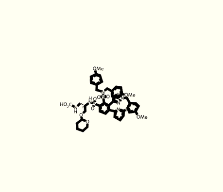 COc1ccc(CN(Cc2ccc(OC)cc2)S(=O)(=O)c2c(S(=O)(=O)N[C@@H](CNC(=O)O)COC3CCCCO3)ccc(-c3cccc(Br)n3)c2-c2nnn(Cc3ccc(OC)cc3)n2)cc1